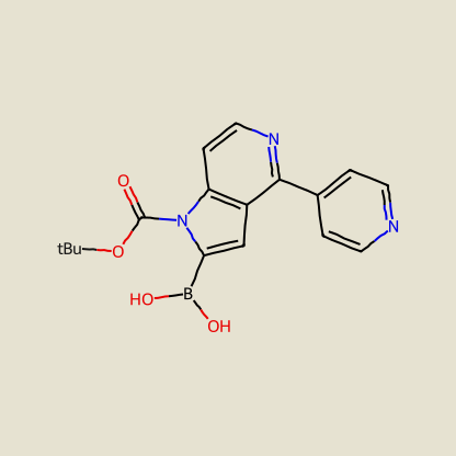 CC(C)(C)OC(=O)n1c(B(O)O)cc2c(-c3ccncc3)nccc21